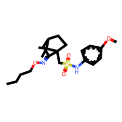 CCCCON=C1CC2CCC1(CS(=O)(=O)Nc1ccc(OC)cc1)C2(C)C